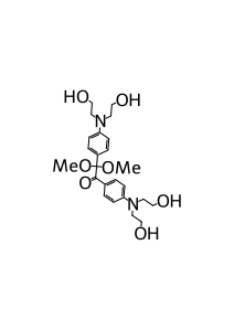 COC(OC)(C(=O)c1ccc(N(CCO)CCO)cc1)c1ccc(N(CCO)CCO)cc1